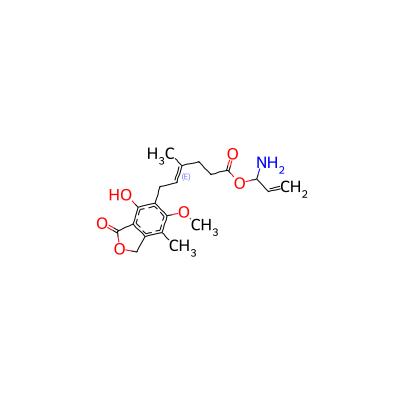 C=CC(N)OC(=O)CC/C(C)=C/Cc1c(O)c2c(c(C)c1OC)COC2=O